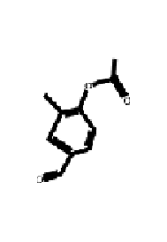 CC(=O)Oc1ccc(C=O)cc1C